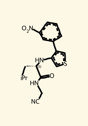 CC(C)C[C@H](Nc1cscc1-c1cccc([N+](=O)[O-])c1)C(=O)NCC#N